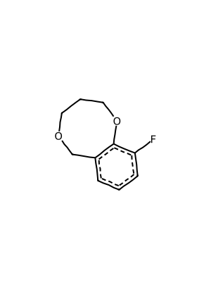 Fc1cccc2c1OCCCOC2